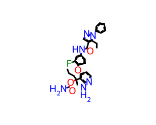 CCCC(C)(OC(N)=O)c1c(Oc2ccc(NC(=O)c3cnn(-c4ccccc4)c3CC)cc2F)ccnc1N